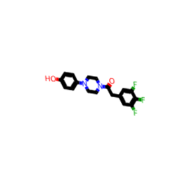 O=C(Cc1cc(F)c(F)c(F)c1)N1CCN(c2ccc(O)cc2)CC1